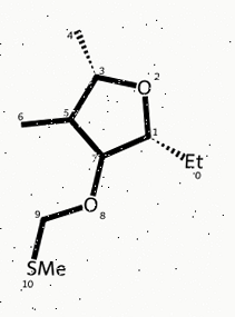 CC[C@H]1O[C@@H](C)C(C)C1OCSC